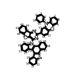 c1ccc(N2c3ccccc3Oc3ccc(-c4nc(-n5c6ccccc6c6c7c8ccccc8sc7c7ccccc7c65)c5oc6ccccc6c5n4)cc32)cc1